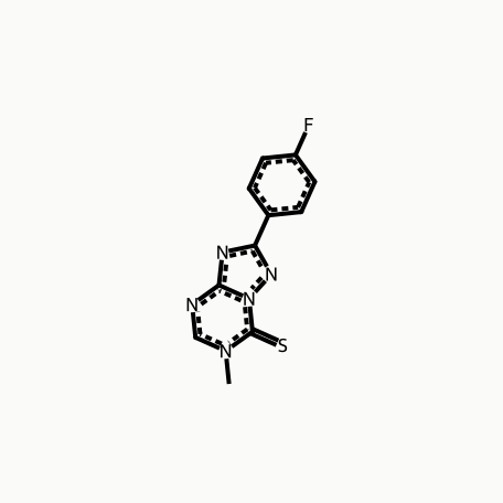 Cn1cnc2nc(-c3ccc(F)cc3)nn2c1=S